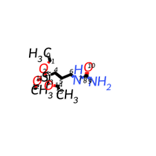 CCO[Si](CCCNC(N)=O)(OC)OCC